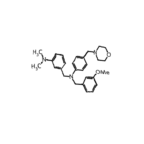 COc1cccc(CN(Cc2cccc(N(C)C)c2)c2ccc(CN3CCOCC3)cc2)c1